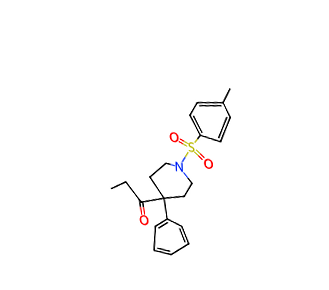 CCC(=O)C1(c2ccccc2)CCN(S(=O)(=O)c2ccc(C)cc2)CC1